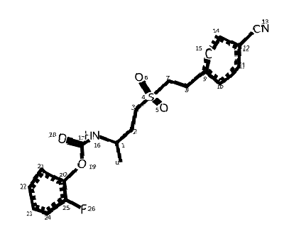 CC(CCS(=O)(=O)CCc1ccc(C#N)cc1)NC(=O)Oc1ccccc1F